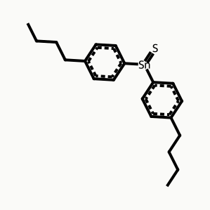 CCCCc1cc[c]([Sn](=[S])[c]2ccc(CCCC)cc2)cc1